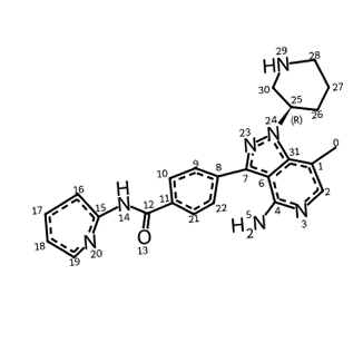 Cc1cnc(N)c2c(-c3ccc(C(=O)Nc4ccccn4)cc3)nn([C@@H]3CCCNC3)c12